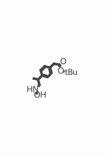 CC(CNO)c1ccc(CC(=O)OC(C)(C)C)cc1